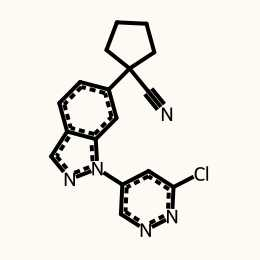 N#CC1(c2ccc3cnn(-c4cnnc(Cl)c4)c3c2)CCCC1